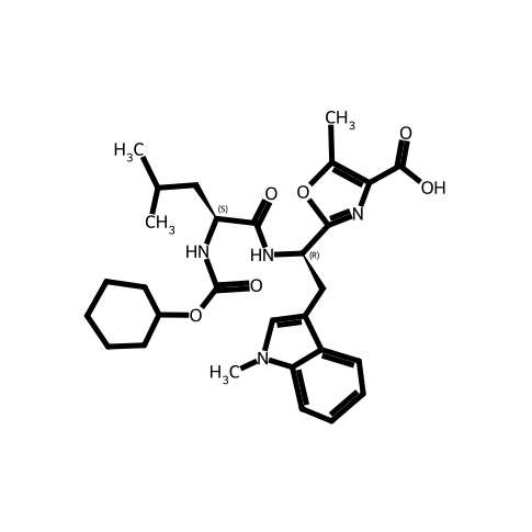 Cc1oc([C@@H](Cc2cn(C)c3ccccc23)NC(=O)[C@H](CC(C)C)NC(=O)OC2CCCCC2)nc1C(=O)O